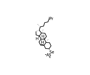 CC(C)CCC[C@@H](C)[C@H]1CC[C@H]2[C@@H]3CC=C4C[C@@H]([Se][As](C)C)CC[C@]4(C)[C@H]3CC[C@]12C